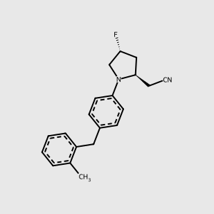 Cc1ccccc1Cc1ccc(N2C[C@H](F)C[C@H]2CC#N)cc1